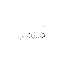 Cc1cc(CNC(=O)c2ccnc(NC(=O)C(C)C)c2)nc(OCC(F)(F)F)c1